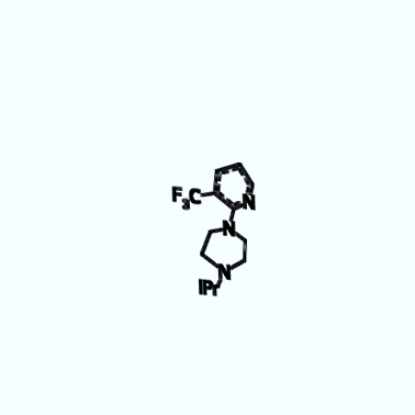 CC(C)N1CCN(c2ncccc2C(F)(F)F)CC1